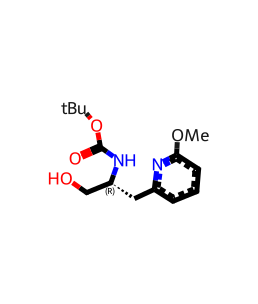 COc1cccc(C[C@H](CO)NC(=O)OC(C)(C)C)n1